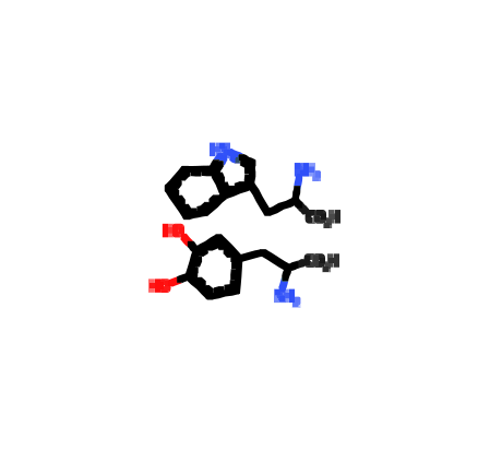 NC(Cc1c[nH]c2ccccc12)C(=O)O.NC(Cc1ccc(O)c(O)c1)C(=O)O